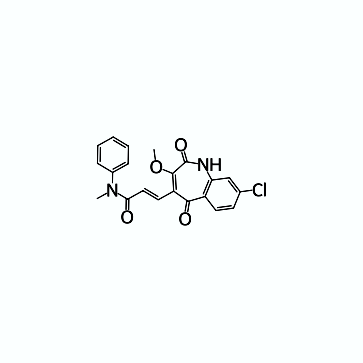 COc1c(/C=C/C(=O)N(C)c2ccccc2)c(=O)c2ccc(Cl)cc2[nH]c1=O